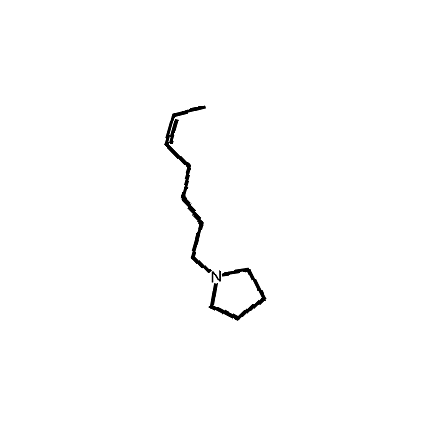 C/C=C\CCCCN1CCCC1